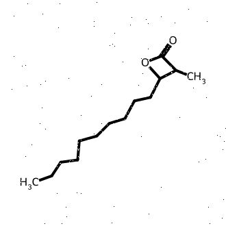 CCCCCCCCCCC1OC(=O)C1C